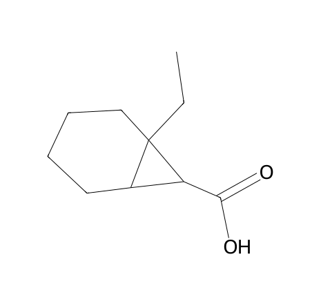 CCC12CCCCC1C2C(=O)O